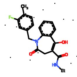 CCNC(=O)C1=C(O)c2ccccc2N(Cc2ccc(C)c(F)c2)C(=O)C1